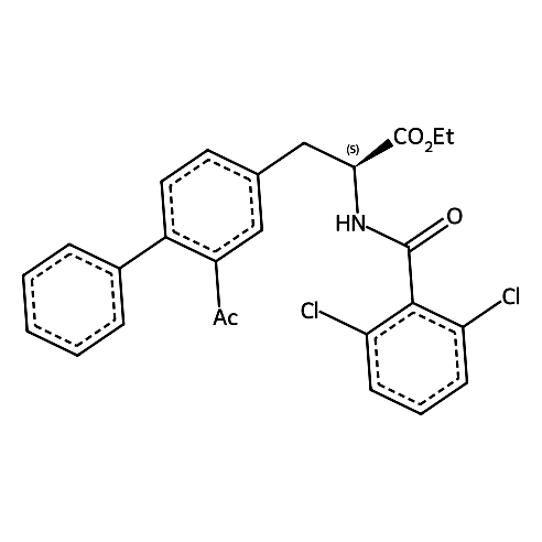 CCOC(=O)[C@H](Cc1ccc(-c2ccccc2)c(C(C)=O)c1)NC(=O)c1c(Cl)cccc1Cl